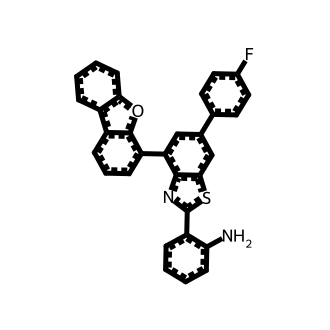 Nc1ccccc1-c1nc2c(-c3cccc4c3oc3ccccc34)cc(-c3ccc(F)cc3)cc2s1